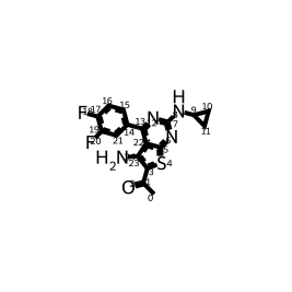 CC(=O)c1sc2nc(NC3CC3)nc(-c3ccc(F)c(F)c3)c2c1N